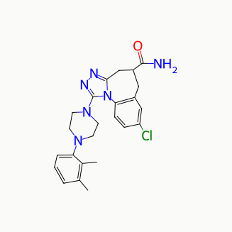 Cc1cccc(N2CCN(c3nnc4n3-c3ccc(Cl)cc3CC(C(N)=O)C4)CC2)c1C